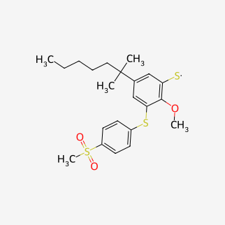 CCCCCC(C)(C)c1cc([S])c(OC)c(Sc2ccc(S(C)(=O)=O)cc2)c1